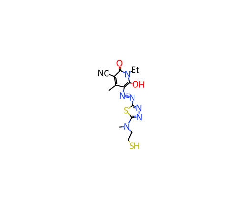 CCn1c(O)c(/N=N/c2nnc(N(C)CCS)s2)c(C)c(C#N)c1=O